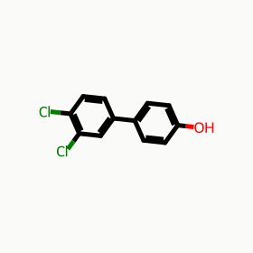 Oc1ccc(-c2ccc(Cl)c(Cl)c2)cc1